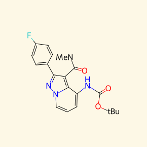 CNC(=O)c1c(-c2ccc(F)cc2)nn2cccc(NC(=O)OC(C)(C)C)c12